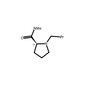 CNC(=O)[C@@H]1CCCN1CC(C)C